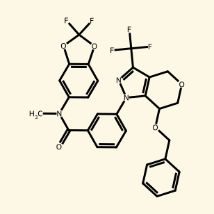 CN(C(=O)c1cccc(-n2nc(C(F)(F)F)c3c2C(OCc2ccccc2)COC3)c1)c1ccc2c(c1)OC(F)(F)O2